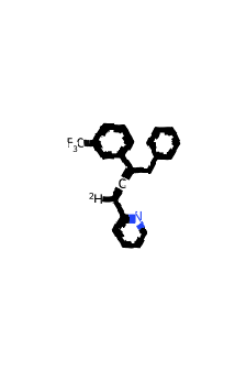 [2H]C(=C=C(Cc1ccccc1)c1cccc(C(F)(F)F)c1)c1ccccn1